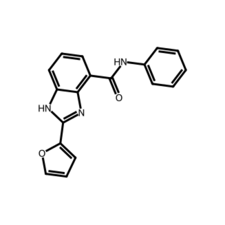 O=C(Nc1ccccc1)c1cccc2[nH]c(-c3ccco3)nc12